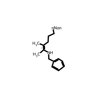 CCCCCCCCCCCC/C(C)=C(/C)NCc1ccccc1